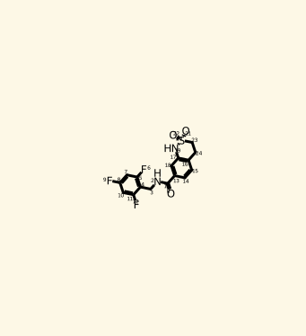 O=C(NCc1c(F)cc(F)cc1F)c1ccc2c(c1)NS(=O)(=O)CC2